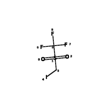 O=S(=O)(CI)C(F)(F)F